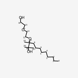 CCCCCCCCCC(C)(OCCOCCO)C(C)(C)O